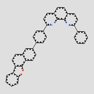 c1ccc(-c2ccc3ccc4ccc(-c5ccc(-c6ccc7c(ccc8c9ccccc9oc78)c6)cc5)nc4c3n2)cc1